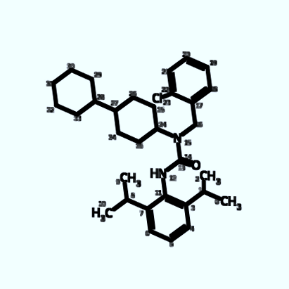 CC(C)c1cccc(C(C)C)c1NC(=O)N(Cc1ccccc1Cl)C1CCC(C2CCCCC2)CC1